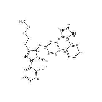 CCCCCc1nn(-c2ccccc2Cl)c(=O)n1Cc1ccc(-c2ccccc2-c2nnn[nH]2)cc1